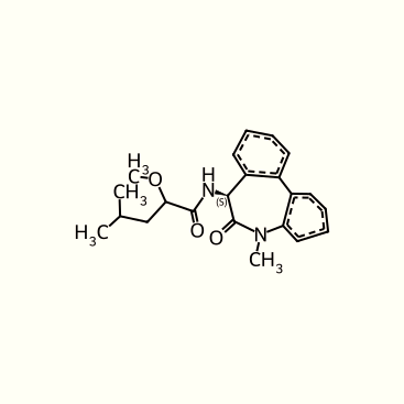 COC(CC(C)C)C(=O)N[C@@H]1C(=O)N(C)c2ccccc2-c2ccccc21